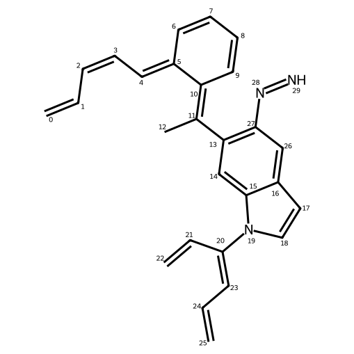 C=C\C=C/C=c1\cccc\c1=C(\C)c1cc2c(ccn2/C(C=C)=C/C=C)cc1N=N